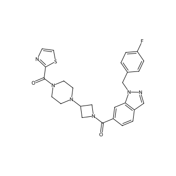 O=C(c1ccc2cnn(Cc3ccc(F)cc3)c2c1)N1CC(N2CCN(C(=O)c3nccs3)CC2)C1